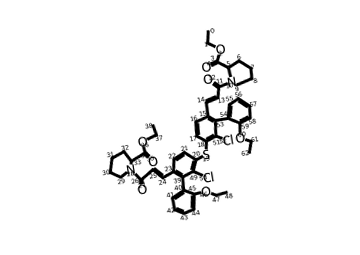 CCOC(=O)C1CCCCN1C(=O)/C=C/c1ccc(Sc2ccc(/C=C/C(=O)N3CCCCC3C(=O)OCC)c(-c3ccccc3OCC)c2Cl)c(Cl)c1-c1ccccc1OCC